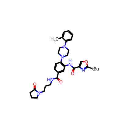 Cc1ccccc1N1CCN(c2ccc(C(=O)NCCCN3CCCC3=O)cc2NC(=O)c2coc(C(C)(C)C)n2)CC1